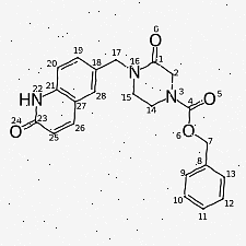 O=C1CN(C(=O)OCc2ccccc2)CCN1Cc1ccc2[nH]c(=O)ccc2c1